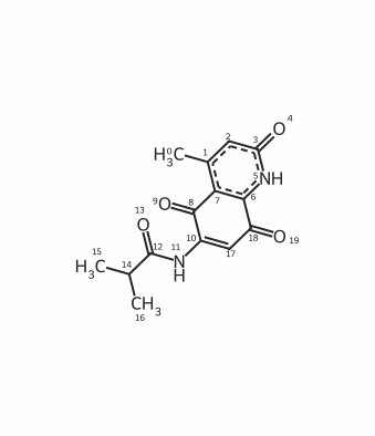 Cc1cc(=O)[nH]c2c1C(=O)C(NC(=O)C(C)C)=CC2=O